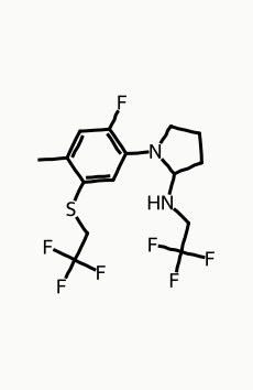 Cc1cc(F)c(N2CCCC2NCC(F)(F)F)cc1SCC(F)(F)F